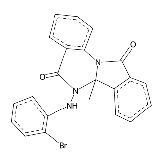 CC12c3ccccc3C(=O)N1c1ccccc1C(=O)N2Nc1ccccc1Br